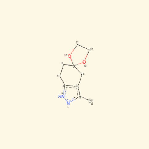 CCc1n[nH]c2c1CC1(CC2)OCCO1